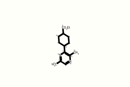 CCOC(=O)C1CCC(c2nc(C)cnc2C)CC1